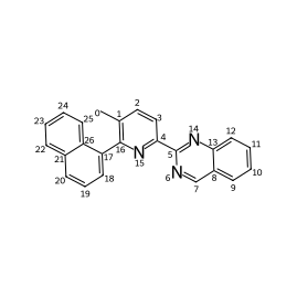 Cc1ccc(-c2ncc3ccccc3n2)nc1-c1cccc2ccccc12